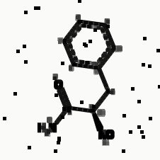 NC(=O)[C@@H](Cc1ccccc1)N=O